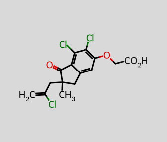 C=C(Cl)CC1(C)Cc2cc(OCC(=O)O)c(Cl)c(Cl)c2C1=O